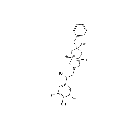 Oc1c(F)cc(C(O)CN2C[C@@H]3CC(O)(Cc4ccccc4)C[C@@H]3C2)cc1F